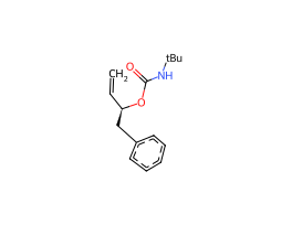 C=C[C@H](Cc1ccccc1)OC(=O)NC(C)(C)C